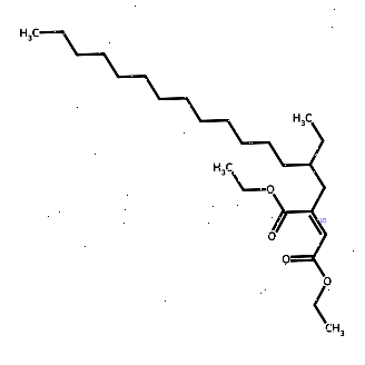 CCCCCCCCCCCCCC(CC)C/C(=C/C(=O)OCC)C(=O)OCC